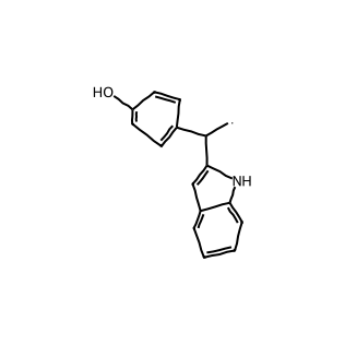 [CH2]C(c1ccc(O)cc1)c1cc2ccccc2[nH]1